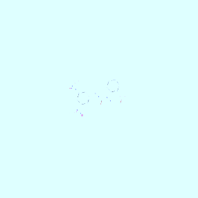 O=C(O)CN(C(=O)Nc1cc([N+](=O)[O-])cc([N+](=O)[O-])c1)c1ccccc1